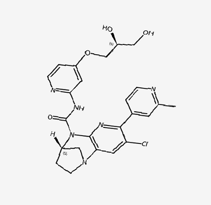 Cc1cc(-c2nc3c(cc2Cl)N2CC[C@@H](C2)N3C(=O)Nc2cc(OC[C@@H](O)CO)ccn2)ccn1